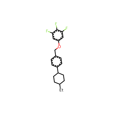 CCC1CCC(c2ccc(COc3cc(F)c(F)c(F)c3)cc2)CC1